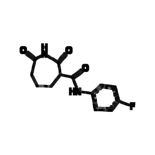 O=C1CCCC(C(=O)Nc2ccc(F)cc2)C(=O)N1